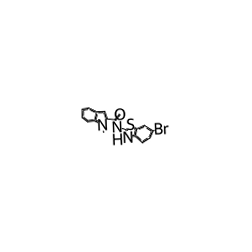 Cn1c(C(=O)Nc2nc3ccc(Br)cc3s2)cc2ccccc21